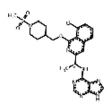 C[C@H](Nc1ncnc2[nH]cnc12)c1cc2cccc(Cl)c2c(OCC2CCN(S(C)(=O)=O)CC2)n1